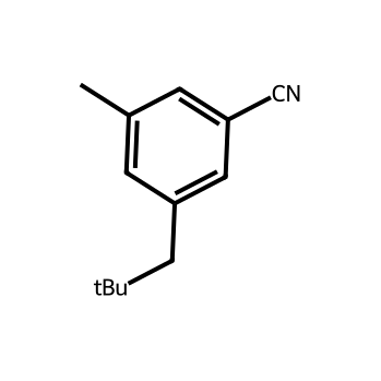 Cc1cc(C#N)cc(CC(C)(C)C)c1